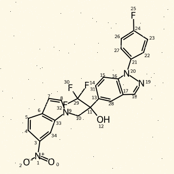 O=[N+]([O-])c1ccc2ccn(CC(O)(c3ccc4c(cnn4-c4ccc(F)cc4)c3)C(F)(F)F)c2c1